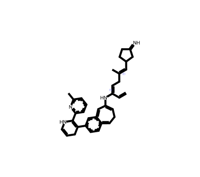 C=C/C(=C\C/C(C)=C/C1CCC(=N)C1)NC1=CCC=c2ccc(C3=C(c4cccc(C)n4)NC=CC3)cc2=C1